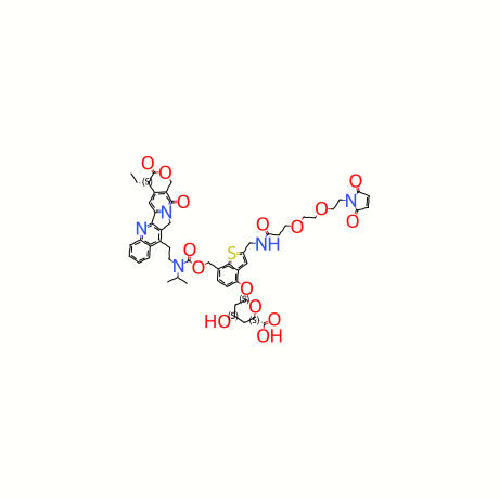 CC[C@@H]1C(=O)OCc2c1cc1n(c2=O)Cc2c-1nc1ccccc1c2CCN(C(=O)OCc1ccc(O[C@H]2C[C@@H](O)C[C@@H](C(=O)O)O2)c2cc(CNC(=O)CCOCCOCCN3C(=O)C=CC3=O)sc12)C(C)C